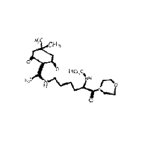 CC(NCCCCC(NC(=O)O)C(=O)N1CCOCC1)=C1C(=O)CC(C)(C)CC1=O